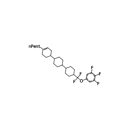 CCCCCC1=CCC(C2CCC(C3CCC(C(F)(F)Oc4cc(F)c(F)c(F)c4)CC3)CC2)CC1